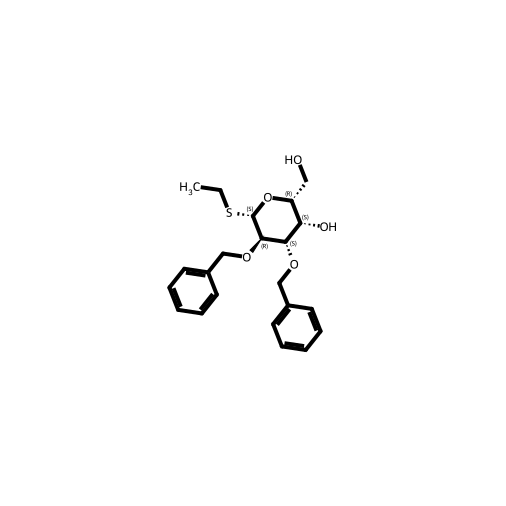 CCS[C@@H]1O[C@H](CO)[C@H](O)[C@H](OCc2ccccc2)[C@H]1OCc1ccccc1